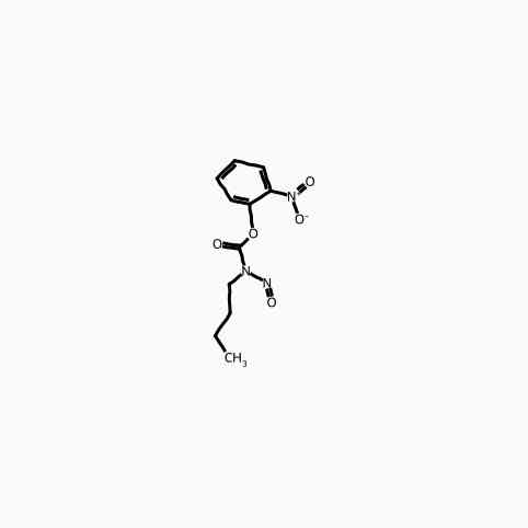 CCCCN(N=O)C(=O)Oc1ccccc1[N+](=O)[O-]